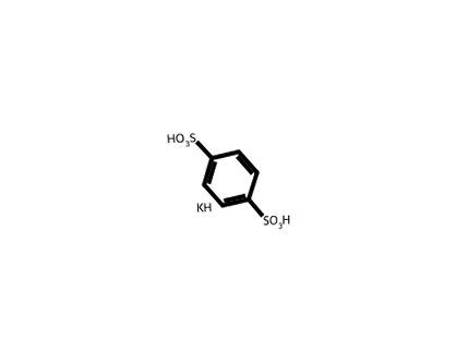 O=S(=O)(O)c1ccc(S(=O)(=O)O)cc1.[KH]